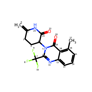 C=C1CCC(n2c(C(F)(F)F)nc3cccc(C)c3c2=O)C(=O)N1